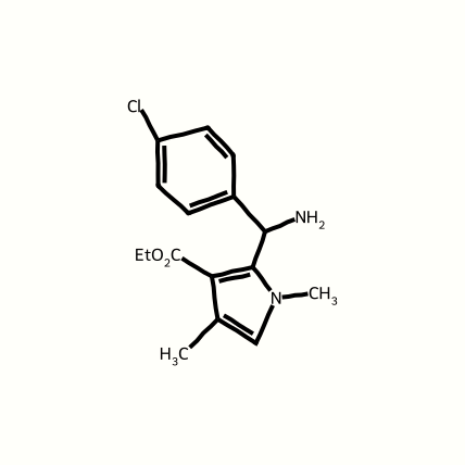 CCOC(=O)c1c(C)cn(C)c1C(N)c1ccc(Cl)cc1